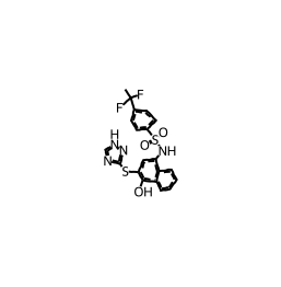 CC(F)(F)c1ccc(S(=O)(=O)Nc2cc(Sc3nc[nH]n3)c(O)c3ccccc23)cc1